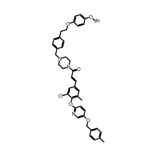 Cc1ccc(COc2ccc(Oc3c(C)cc(/C=C/C(=O)N4CCN(Cc5ccc(CCOc6ccc(OC(C)C)cc6)cc5)CC4)cc3Cl)nc2)cc1